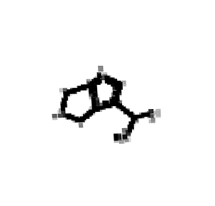 CC(S)c1coc2c1COC2